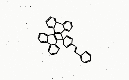 C(=Cc1ccccc1)C1=CCC(c2cc3ccccc3c3ccccc23)(c2cc3ccccc3c3ccccc23)C=C1